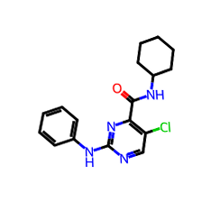 O=C(NC1CCCCC1)c1nc(Nc2ccccc2)ncc1Cl